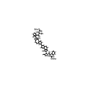 C=C1CCN(C(=O)[C@H](NC(=O)OC)c2ccccc2)[C@@H]1c1nc2ccc3cc(-c4ccc5c(c4)C=CC4CC5NC(C5[C@H]6CCC(C6)N5C(=O)[C@@H](NC(=O)OC)C(C)C)=N4)ccc3c2[nH]1